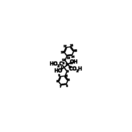 O=C(O)C(O)(Cc1ccccc1)C(O)(Cc1ccccc1)C(=O)O